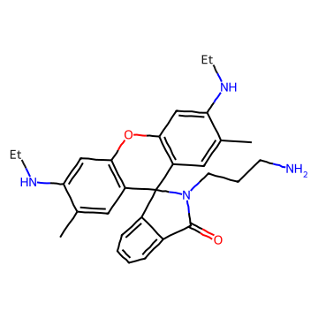 CCNc1cc2c(cc1C)C1(c3cc(C)c(NCC)cc3O2)c2ccccc2C(=O)N1CCCN